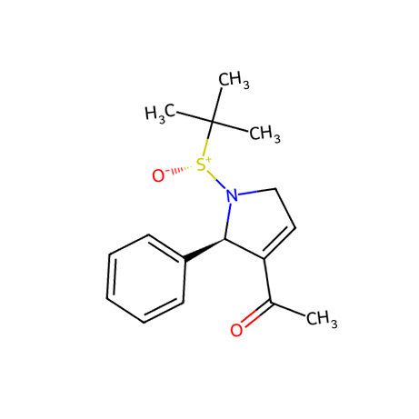 CC(=O)C1=CCN([S@+]([O-])C(C)(C)C)[C@@H]1c1ccccc1